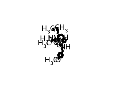 CC[C@H](N)C(=O)N[C@@H]1C(=O)N2[C@@H](CC[C@@H]1CCN(C)CC)CC[C@H]2C(=O)NCCc1ccc(OC)cc1